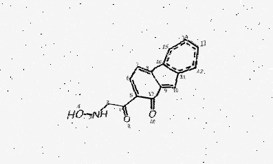 O=C(CNO)C1=CC=C2C(=Cc3ccccc32)C1=O